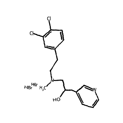 Br.Br.CN(CCc1ccc(Cl)c(Cl)c1)CC(O)c1cccnc1